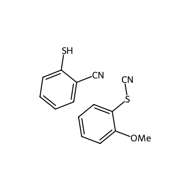 COc1ccccc1SC#N.N#Cc1ccccc1S